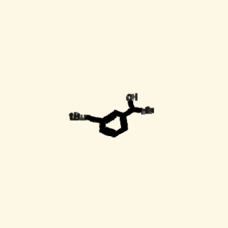 CCCCC(O)c1cccc(C(C)(C)C)c1